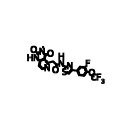 Cn1c(=O)[nH]c2ccnc(CC(=O)Nc3nc(-c4ccc(OC(F)(F)F)c(F)c4)cs3)c2c1=O